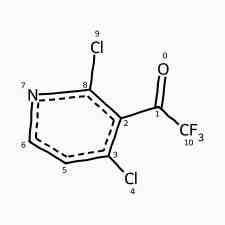 O=C(c1c(Cl)ccnc1Cl)C(F)(F)F